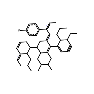 C/C=C(\C=C1/CC(C2CC=C/C(=C/C)C2CCC)C2CC(C)C(C)CC2=C1C1=CC#CC(CC)C1CCC)c1ccc(F)cc1